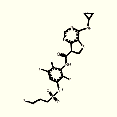 O=C(Nc1c(F)c(F)cc(NS(=O)(=O)CCCF)c1F)C1CSc2c(NC3CC3)ncnc21